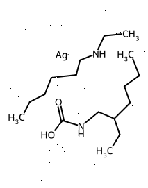 CCCCC(CC)CNC(=O)O.CCCCCCNCC.[Ag]